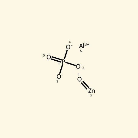 O=P([O-])([O-])[O-].[Al+3].[O]=[Zn]